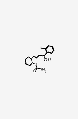 NC(=O)O[C@H]1CCCC[C@H]1CCC[C@H](O)c1ccccc1I